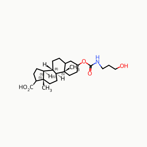 C[C@]12CCC(OC(=O)NCCCO)CC1CC[C@@H]1[C@@H]2CC[C@]2(C)C(C(=O)O)CC[C@@H]12